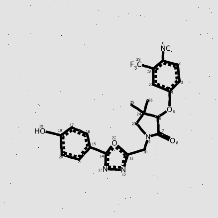 [C-]#[N+]c1ccc(OC2C(=O)N(Cc3nnc(-c4ccc(O)cc4)o3)CC2(C)C)cc1C(F)(F)F